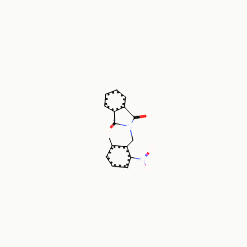 Cc1cccc([N+](=O)[O-])c1CN1C(=O)c2ccccc2C1=O